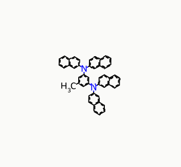 Cc1cc(N(c2ccc3ccccc3c2)c2ccc3ccccc3c2)cc(N(c2ccc3ccccc3c2)c2ccc3ccccc3c2)c1